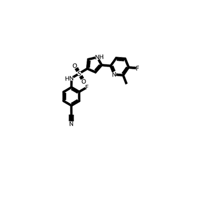 Cc1nc(-c2cc(S(=O)(=O)Nc3ccc(C#N)cc3F)c[nH]2)ccc1F